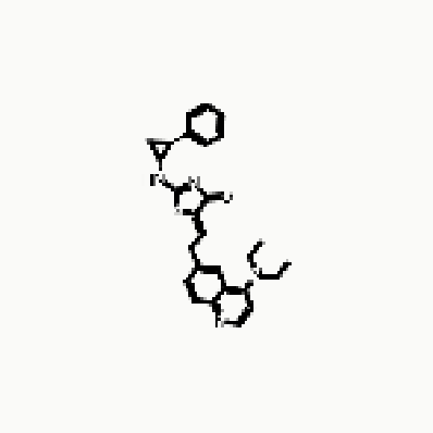 CCN(CC)c1ccnc2ccc(C/C=C3\SC(N[C@@H]4C[C@H]4c4ccccc4)=NC3=O)cc12